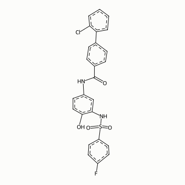 O=C(Nc1ccc(O)c(NS(=O)(=O)c2ccc(F)cc2)c1)c1ccc(-c2ccccc2Cl)cc1